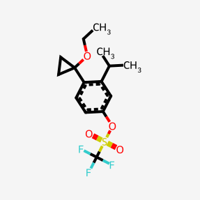 CCOC1(c2ccc(OS(=O)(=O)C(F)(F)F)cc2C(C)C)CC1